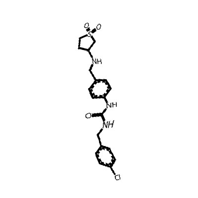 O=C(NCc1ccc(Cl)cc1)Nc1ccc(CNC2CCS(=O)(=O)C2)cc1